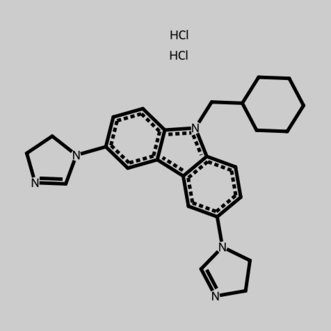 C1=NCCN1c1ccc2c(c1)c1cc(N3C=NCC3)ccc1n2CC1CCCCC1.Cl.Cl